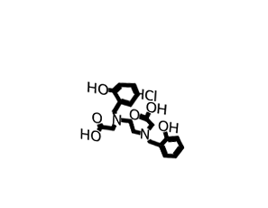 Cl.O=C(O)CN(CCN(CC(=O)O)Cc1ccccc1O)Cc1ccccc1O